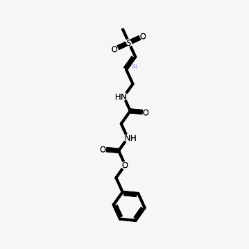 CS(=O)(=O)/C=C/CNC(=O)CNC(=O)OCc1ccccc1